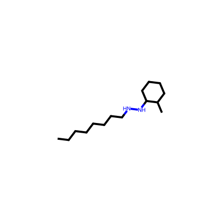 CCCCCCCCNNC1CCCCC1C